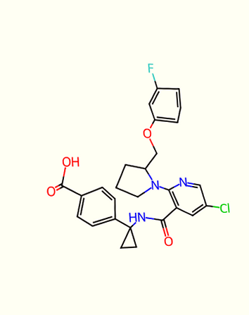 O=C(O)c1ccc(C2(NC(=O)c3cc(Cl)cnc3N3CCCC3COc3cccc(F)c3)CC2)cc1